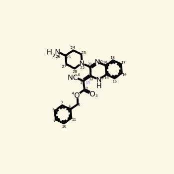 N#C/C(C(=O)OCc1ccccc1)=C1/Nc2ccccc2N=C1N1CCC(N)CC1